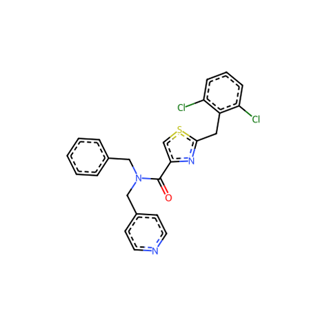 O=C(c1csc(Cc2c(Cl)cccc2Cl)n1)N(Cc1ccccc1)Cc1ccncc1